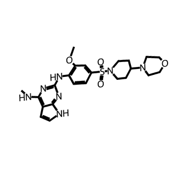 CNc1nc(Nc2ccc(S(=O)(=O)N3CCC(N4CCOCC4)CC3)cc2OC)nc2[nH]ccc12